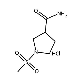 CS(=O)(=O)N1CCC(C(N)=O)C1.Cl